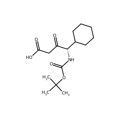 CC(C)(C)OC(=O)N[C@H](C(=O)CC(=O)O)C1CCCCC1